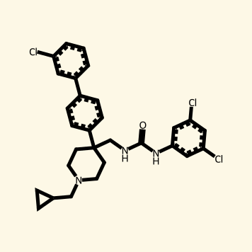 O=C(NCC1(c2ccc(-c3cccc(Cl)c3)cc2)CCN(CC2CC2)CC1)Nc1cc(Cl)cc(Cl)c1